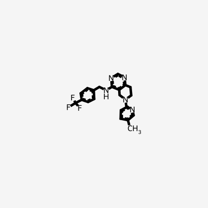 Cc1ccc(N2CCc3ncnc(NCc4ccc(C(F)(F)F)cc4)c3C2)nc1